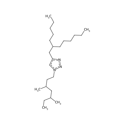 CCCCCCC(CCCCC)Cc1cn(CCC(C)CC(C)CC)nn1